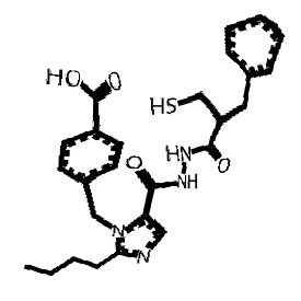 CCCCc1ncc(C(=O)NNC(=O)C(CS)Cc2ccccc2)n1Cc1ccc(C(=O)O)cc1